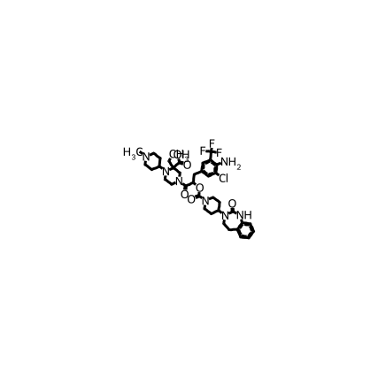 CCC1(C(=O)O)CN(C(=O)C(Cc2cc(Cl)c(N)c(C(F)(F)F)c2)OC(=O)N2CCC(N3CCc4ccccc4NC3=O)CC2)CCN1C1CCN(C)CC1